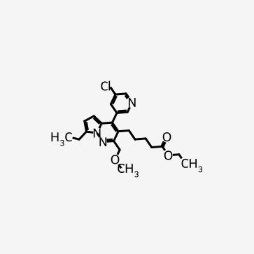 CCOC(=O)CCCCc1c(COC)nn2c(CC)ccc2c1-c1cncc(Cl)c1